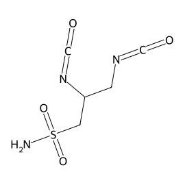 NS(=O)(=O)CC(CN=C=O)N=C=O